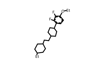 CCOc1ccc(C2CCC(CCC3CCC(CC)CC3)CC2)c(F)c1F